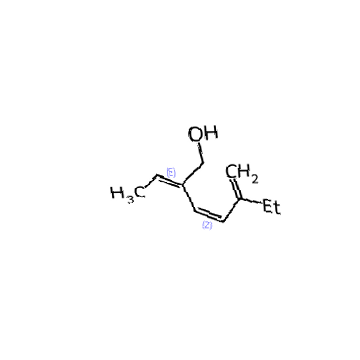 C=C(/C=C\C(=C/C)CO)CC